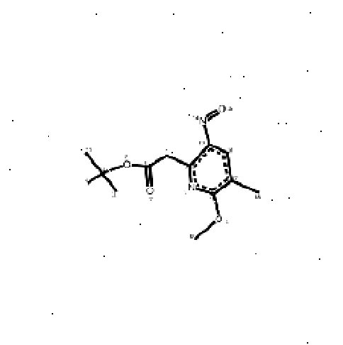 COc1nc(CC(=O)OC(C)(C)C)c(N=O)cc1C